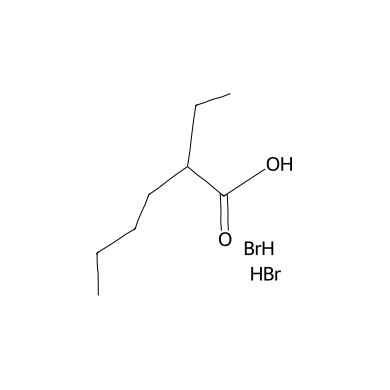 Br.Br.CCCCC(CC)C(=O)O